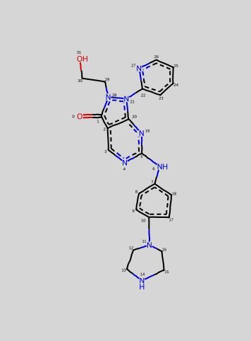 O=c1c2cnc(Nc3ccc(N4CCNCC4)cc3)nc2n(-c2ccccn2)n1CCO